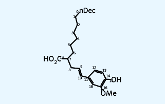 CCCCCCCCCCCCCCCCC(C/C=C/c1ccc(O)c(OC)c1)C(=O)O